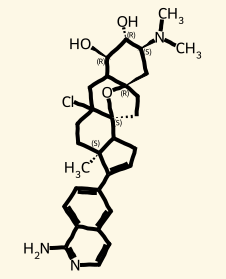 CN(C)[C@H]1C[C@@]23CC[C@]4(O2)C2CC=C(c5ccc6c(N)nccc6c5)[C@@]2(C)CCC4(Cl)CC3[C@@H](O)[C@@H]1O